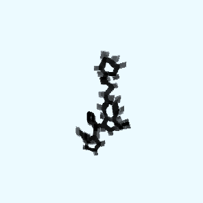 CN1CCC[C@@H]1C(=O)c1c[nH]c2ccc(CCSc3ccccc3)cc12